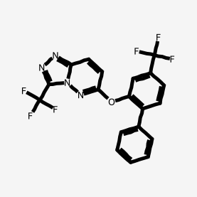 FC(F)(F)c1ccc(-c2ccccc2)c(Oc2ccc3nnc(C(F)(F)F)n3n2)c1